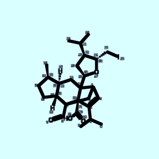 CC(C)C1=CC2CC3(C=O)[C@@H]4CC[C@@H](C)[C@H]4CC2([C@H]2C[C@@H](C(C)C)[C@H](CI)O2)[C@]13C(=O)O